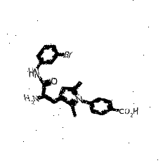 Cc1cc(/C=C(/N)C(=O)Nc2cccc(Br)c2)c(C)n1-c1ccc(C(=O)O)cc1